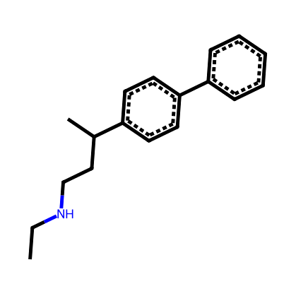 CCNCCC(C)c1ccc(-c2ccccc2)cc1